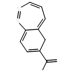 O=C(O)C1=CC=C2N=NC=CC=C2C1